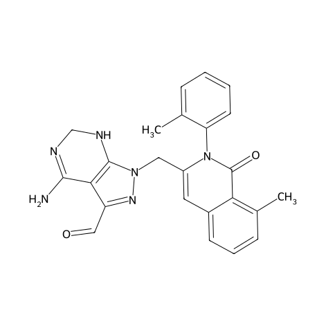 Cc1ccccc1-n1c(Cn2nc(C=O)c3c2NCN=C3N)cc2cccc(C)c2c1=O